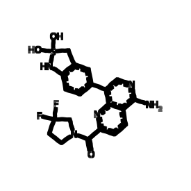 Nc1ncc(-c2ccc3c(c2)CS(O)(O)N3)c2nc(C(=O)N3CCC(F)(F)C3)ccc12